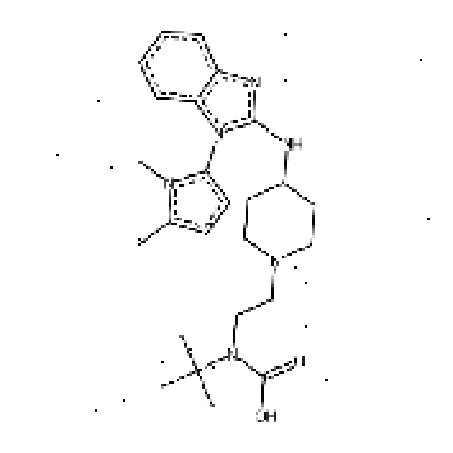 Cc1ccc(-n2c(NC3CCN(CCN(C(=O)O)C(C)(C)C)CC3)nc3ccccc32)n1C